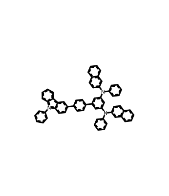 c1ccc(N(c2cc(-c3ccc(-c4ccc5c(c4)c4ccccc4n5-c4ccccc4)cc3)cc(N(c3ccccc3)c3ccc4ccccc4c3)c2)c2ccc3ccccc3c2)cc1